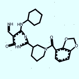 N=Cc1c(NC2CCCCC2)nc(C2CCCN(C(=O)c3cccc4c3OCO4)C2)[nH]c1=O